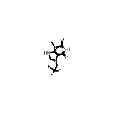 Cn1c2c(c(=O)[nH]c1=O)N(CC(F)(F)F)CN2